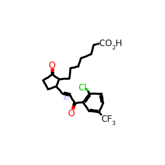 O=C(O)CCCCCCC1C(=O)CCC1/C=C/C(=O)c1cc(C(F)(F)F)ccc1Cl